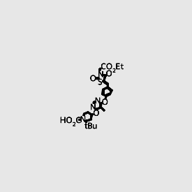 CCOC(=O)CN1C(=O)S/C(=C\c2ccc(Oc3ncnc(OC4CCN(C(=O)O)C(C(C)(C)C)C4)c3C)cc2)C1=O